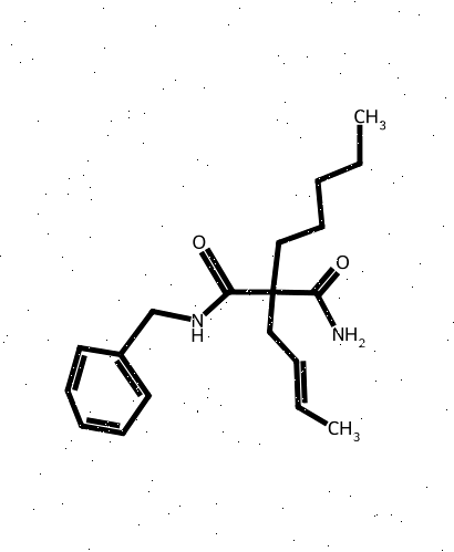 CC=CCC(CCCCC)(C(N)=O)C(=O)NCc1ccccc1